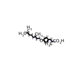 CC(C)=CCC/C(C)=C/COc1ccc(/C=C(\C)C(=O)O)cc1